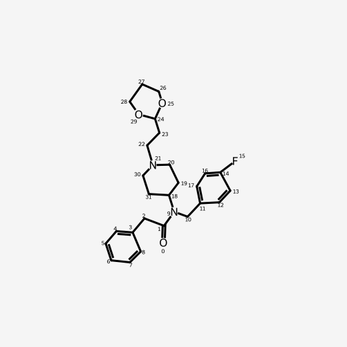 O=C(Cc1ccccc1)N(Cc1ccc(F)cc1)C1CCN(CCC2OCCCO2)CC1